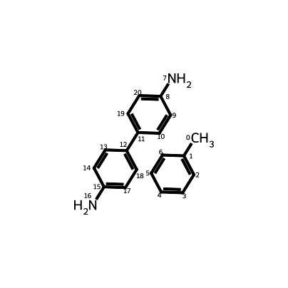 Cc1ccccc1.Nc1ccc(-c2ccc(N)cc2)cc1